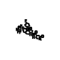 Cn1ccc(C(=O)N[C@@H]2CC[C@@]3(S(=O)(=O)c4ccc(F)cc4)c4ccc(C(F)(C(F)(F)F)C(F)(F)F)cc4CC[C@@H]23)cc1=O